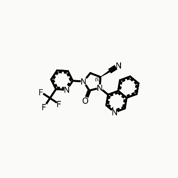 N#C[C@@H]1CN(c2cccc(C(F)(F)F)n2)C(=O)N1c1cncc2ccccc12